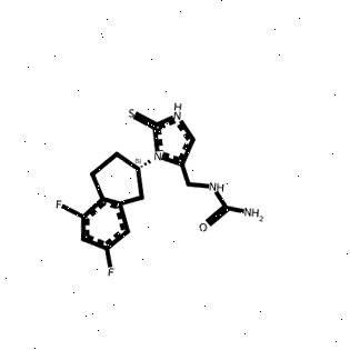 NC(=O)NCc1c[nH]c(=S)n1[C@H]1CCc2c(F)cc(F)cc2C1